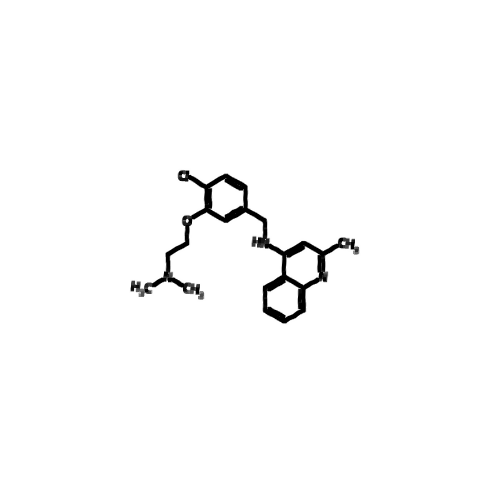 Cc1cc(NCc2ccc(Cl)c(OCCN(C)C)c2)c2ccccc2n1